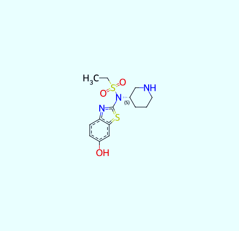 CCS(=O)(=O)N(c1nc2ccc(O)cc2s1)[C@H]1CCCNC1